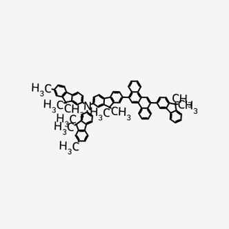 Cc1ccc2c(c1)C(C)(C)c1cc(N(c3ccc4c(c3)C(C)(C)c3cc(C)ccc3-4)c3ccc4c(c3)C(C)(C)c3cc(-c5cc6c7ccccc7c(-c7ccc8c(c7)-c7ccccc7C8(C)C)cc6c6ccccc56)ccc3-4)ccc1-2